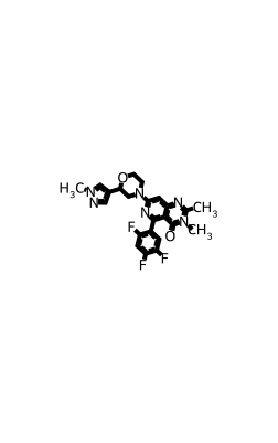 Cc1nc2cc(N3CCOC(c4cnn(C)c4)C3)nc(-c3cc(F)c(F)cc3F)c2c(=O)n1C